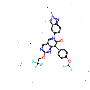 Cn1cc2cc(-n3cc4cnc(OCC(F)(F)F)nc4c(-c4ccc(OC(F)F)cc4)c3=O)ccc2n1